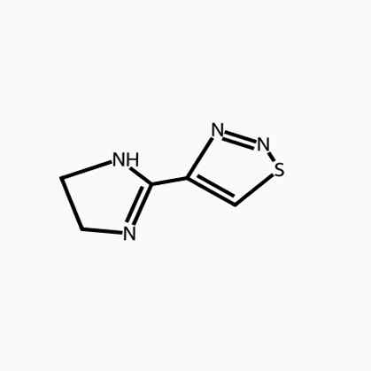 c1snnc1C1=NCCN1